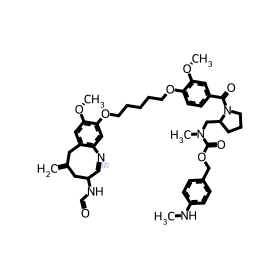 C=C1Cc2cc(OC)c(OCCCCCOc3ccc(C(=O)N4CCCC4CN(C)C(=O)OCc4ccc(NC)cc4)cc3OC)cc2/N=C\C(NC=O)C1